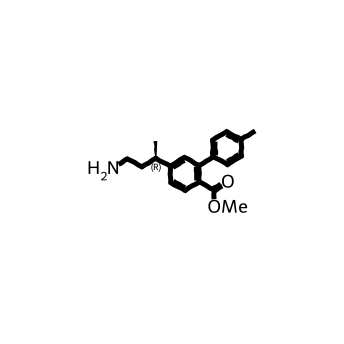 COC(=O)c1ccc([C@H](C)CCN)cc1-c1ccc(C)cc1